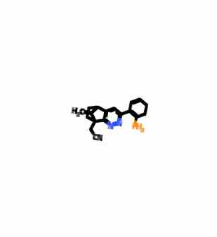 C=C1C2CCC1(CC#N)c1nnc(C3=C(P)CCC=C3)cc12